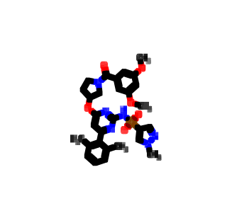 COc1cc(OC)cc(C(=O)N2CCC(Oc3cc(-c4c(C)cccc4C)nc(NS(=O)(=O)c4cnn(C)c4)n3)C2)c1